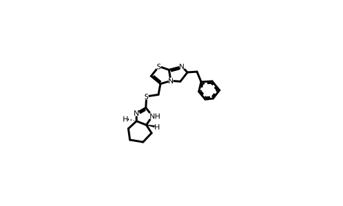 C1=C(CSC2=N[C@@H]3CCCC[C@H]3N2)N2CC(Cc3ccccc3)N=C2S1